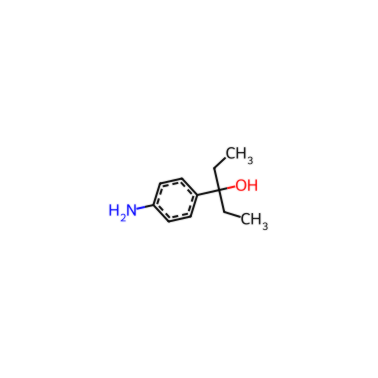 CCC(O)(CC)c1ccc(N)cc1